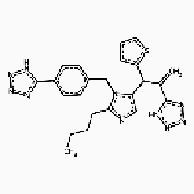 C=C(c1nnn[nH]1)C(c1cccs1)c1cnc(CCCC)n1Cc1ccc(-c2nnn[nH]2)cc1